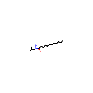 CCCCCCCC=CC=CC(=O)NCC(C)C